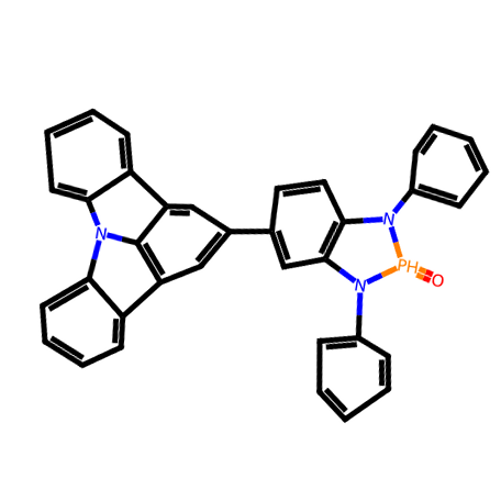 O=[PH]1N(c2ccccc2)c2ccc(-c3cc4c5ccccc5n5c6ccccc6c(c3)c45)cc2N1c1ccccc1